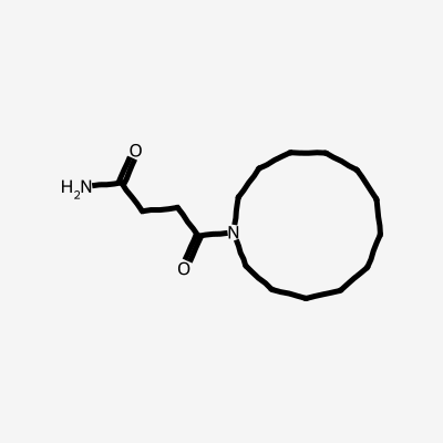 NC(=O)CCC(=O)N1CCCCCCCCCCCC1